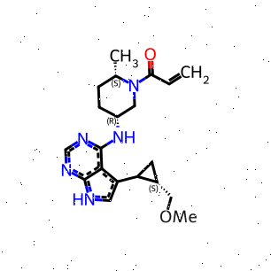 C=CC(=O)N1C[C@H](Nc2ncnc3[nH]cc(C4C[C@@H]4COC)c23)CC[C@@H]1C